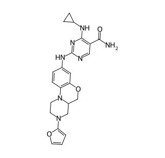 NC(=O)c1cnc(Nc2ccc3c(c2)OCC2CN(c4ccco4)CCN32)nc1NC1CC1